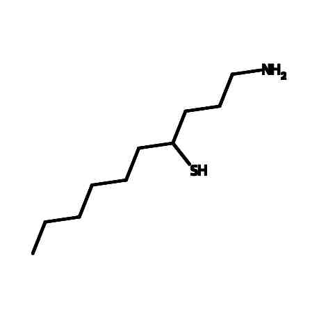 CCCCCCC(S)CCCN